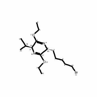 CCOC1=N[C@H](CCCCCBr)C(OCC)=N[C@H]1C(C)C